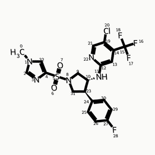 Cn1cnc(S(=O)(=O)N2C[C@H](Nc3cc(C(F)(F)F)c(Cl)cn3)[C@@H](c3ccc(F)cc3)C2)c1